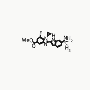 COC(=O)c1cc(F)c2c(c1)nc(-c1cc3ccc([C@@H](C)N)cc3[nH]1)n2C1CC1